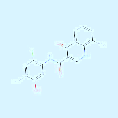 CC(C)(C)c1cc(F)c(NC(=O)c2c[nH]c3c(C#N)cccc3c2=O)cc1O